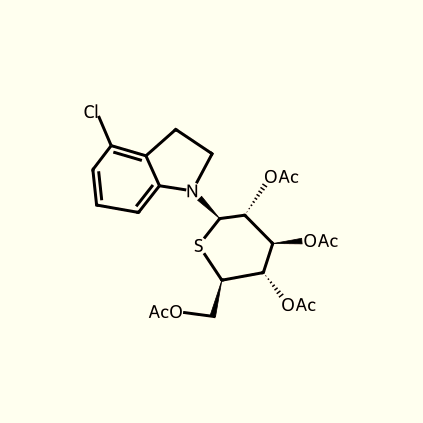 CC(=O)OC[C@H]1S[C@@H](N2CCc3c(Cl)cccc32)[C@H](OC(C)=O)[C@@H](OC(C)=O)[C@@H]1OC(C)=O